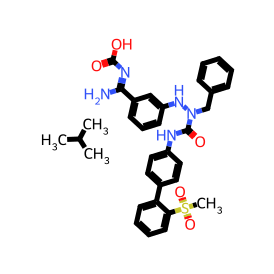 CC(C)C.CS(=O)(=O)c1ccccc1-c1ccc(NC(=O)N(Cc2ccccc2)Nc2cccc(C(N)=NC(=O)O)c2)cc1